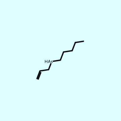 C=CC[AsH]CCCCC